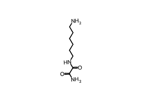 NCCCCCCNC(=O)C(N)=O